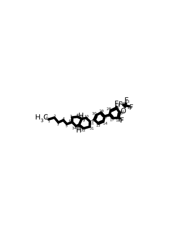 CCCCCCC1CC[C@@H]2C[C@H](c3ccc(-c4cc(F)c(OC(F)(F)F)c(F)c4)cc3)CC[C@@H]2C1